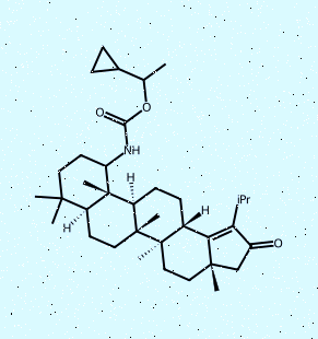 CC(C)C1=C2[C@H]3CC[C@@H]4[C@@]5(C)C(NC(=O)OC(C)C6CC6)CCC(C)(C)[C@@H]5CC[C@@]4(C)[C@]3(C)CC[C@@]2(C)CC1=O